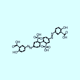 O=C(O)c1cc(/N=N/c2ccc(-c3ccc(/N=N/c4ccc(O)c(C(=O)O)c4)cc3S(=O)(=O)O)c(S(=O)(=O)O)c2)ccc1O